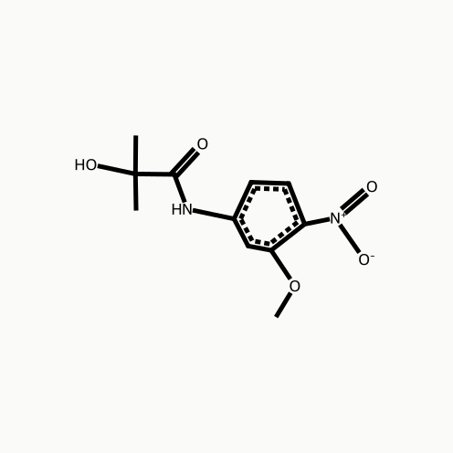 COc1cc(NC(=O)C(C)(C)O)ccc1[N+](=O)[O-]